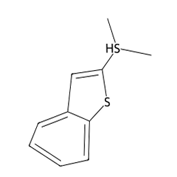 C[SH](C)c1cc2ccccc2s1